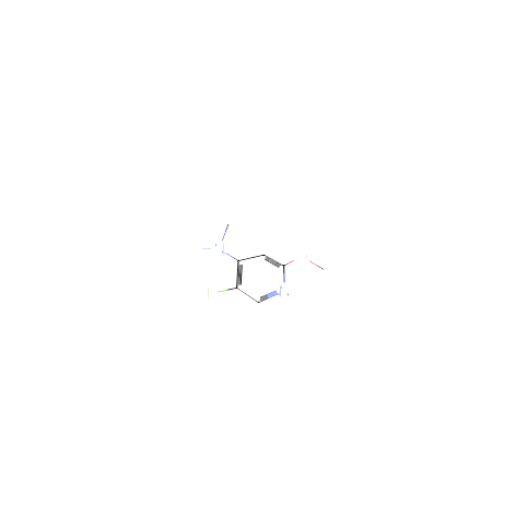 CNc1cc(OC)ncc1F